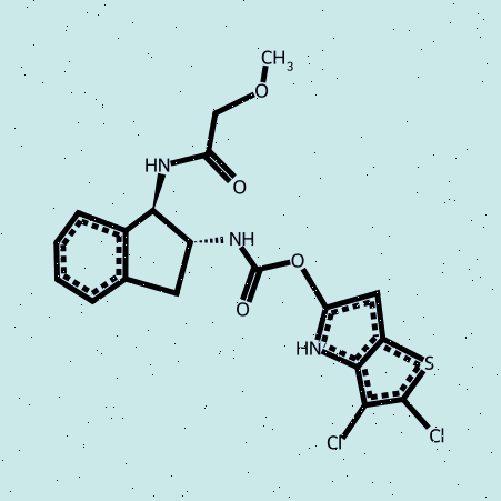 COCC(=O)N[C@@H]1c2ccccc2C[C@H]1NC(=O)Oc1cc2sc(Cl)c(Cl)c2[nH]1